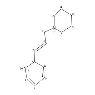 [C]1=CNC(/C=C/CN2CCCCC2)C=C1